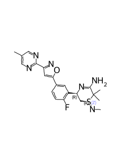 C/N=[S@]1/C[C@@H](c2cc(-c3cc(-c4ncc(C)cn4)no3)ccc2F)N=C(N)C1(C)C